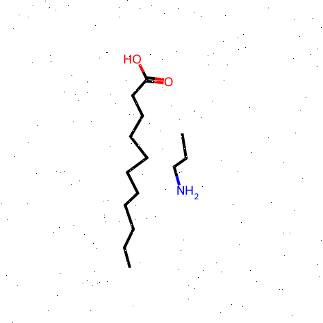 CCCCCCCCCCC(=O)O.CCCN